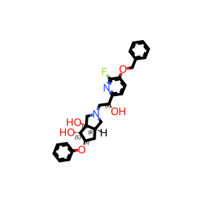 O[C@H](CN1C[C@H]2C[C@H](Oc3ccccc3)[C@H](O)[C@@]2(O)C1)c1ccc(OCc2ccccc2)c(F)n1